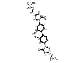 CC(=O)NC[C@H]1CN(c2ccc(-c3ccc(N4C[C@H](CO[Si](C)(C)C(C)(C)C)OC4=O)cc3F)c(F)c2)C(=O)O1